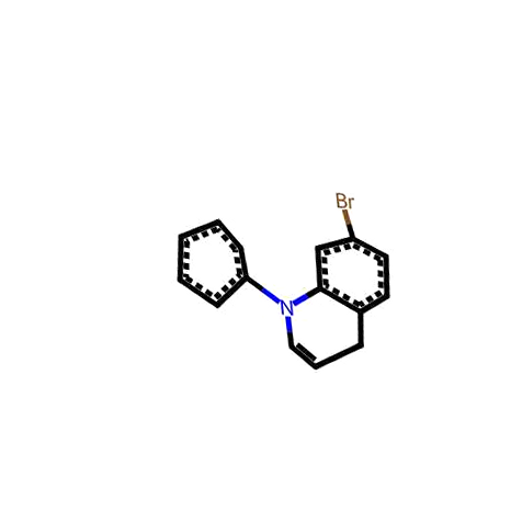 Brc1ccc2c(c1)N(c1ccccc1)C=CC2